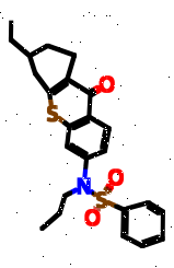 CCCN(c1ccc2c(=O)c3c(sc2c1)CC(CC)CC3)S(=O)(=O)c1ccccc1